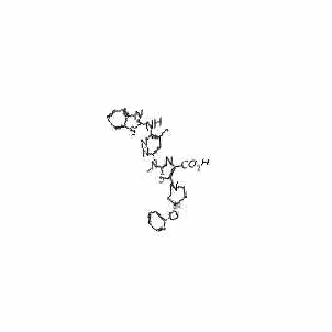 Cc1cc(N(C)c2nc(C(=O)O)c(N3CC[C@H](Oc4ccccc4)C3)s2)nnc1Nc1nc2ccccc2s1